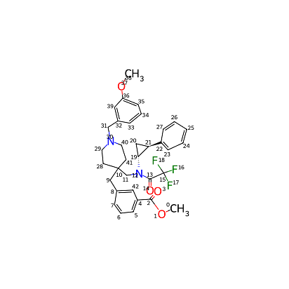 COC(=O)c1cccc(CC2(CN(C(=O)C(F)(F)F)[C@@H]3C[C@H]3c3ccccc3)CCN(Cc3cccc(OC)c3)CC2)c1